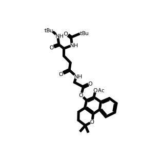 CC(=O)Oc1c(OC(=O)CNC(=O)CCC(NC(=O)C(C)(C)C)C(=O)NC(C)(C)C)c2c(c3ccccc13)OC(C)(C)CC2